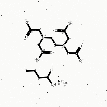 CCCC(O)Cl.O=C([O-])CN(CCN(CC(=O)[O-])CC(=O)O)CC(=O)O.[Na+].[Na+]